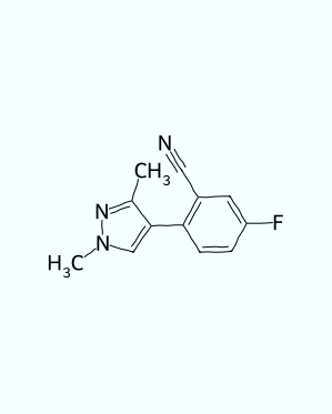 Cc1nn(C)cc1-c1ccc(F)cc1C#N